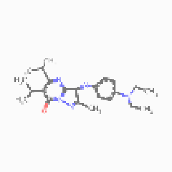 CCN(CC)c1ccc(N=C2C(C)=Nn3c2nc(C(C)C)c(C(C)C)c3=O)cc1